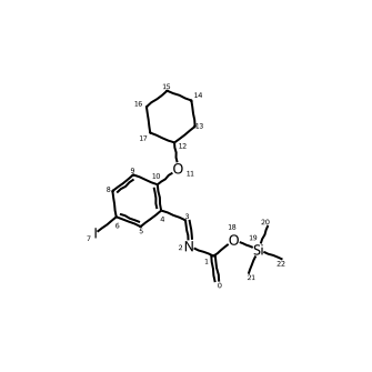 C=C(N=Cc1cc(I)ccc1OC1CCCCC1)O[Si](C)(C)C